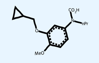 CCCN(C(=O)O)c1ccc(OC)c(OCC2CC2)c1